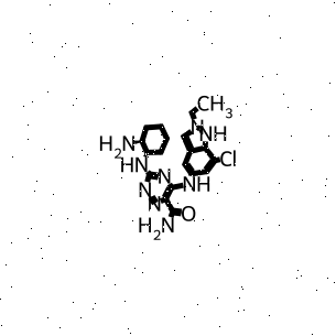 CCN1C=C2C=C(Nc3nc(N[C@@H]4CCCC[C@@H]4N)nnc3C(N)=O)C=C(Cl)C2N1